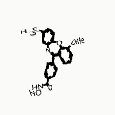 COc1cccc2c1Oc1ccc(C)cc1N=C2c1ccc(C(=O)NO)cc1